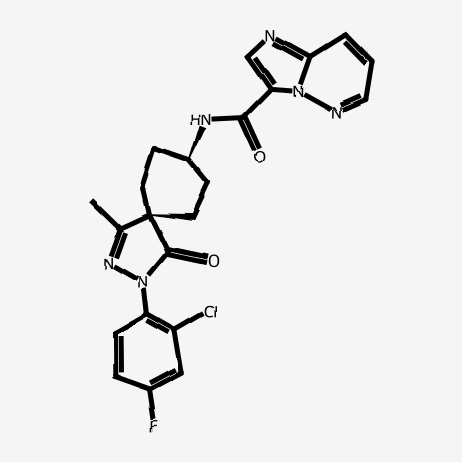 CC1=NN(c2ccc(F)cc2Cl)C(=O)[C@]12CC[C@H](NC(=O)c1cnc3cccnn13)CC2